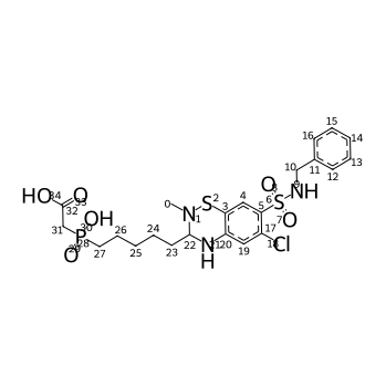 CN1Sc2cc(S(=O)(=O)NCc3ccccc3)c(Cl)cc2NC1CCCCCP(=O)(O)CC(=O)O